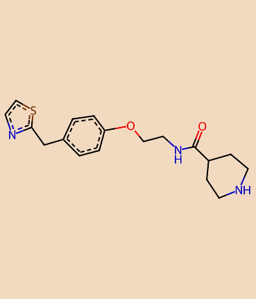 O=C(NCCOc1ccc(Cc2nccs2)cc1)C1CCNCC1